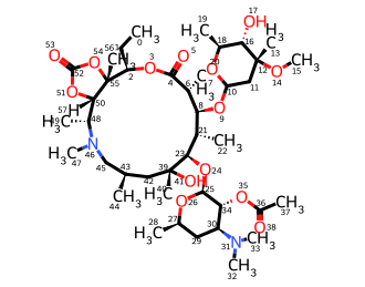 CC[C@H]1OC(=O)[C@H](C)[C@@H](OC2C[C@@](C)(OC)[C@@H](O)[C@H](C)O2)[C@H](C)[C@@H](O[C@@H]2O[C@H](C)C[C@H](N(C)C)[C@H]2OC(C)=O)[C@](C)(O)C[C@@H](C)CN(C)[C@H](C)[C@@H]2OC(=O)O[C@]12C